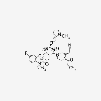 C=CC(=O)N1CCN(C2NC(OC[C@@H]3CCCN3C)NC3C[C@]4(CCC32)Oc2cc(F)ccc2N(C)C4=O)C[C@H]1CC#N